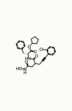 O=C(CC(CC#Cc1ccccc1Cl)C(=O)N[C@H](Cc1ccccc1)C(=O)OC1CCCC1)NO